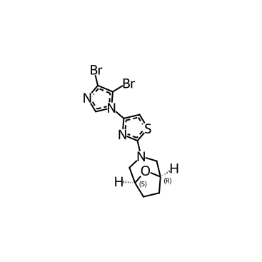 Brc1ncn(-c2csc(N3C[C@H]4CC[C@@H](C3)O4)n2)c1Br